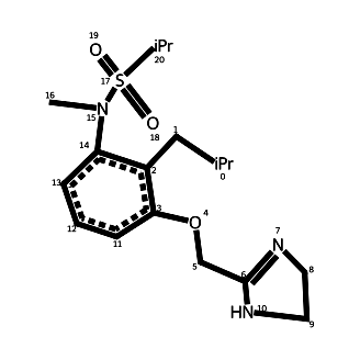 CC(C)Cc1c(OCC2=NCCN2)cccc1N(C)S(=O)(=O)C(C)C